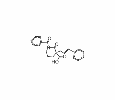 O=C(c1ccccc1)N1CCC[C@@](CC=Cc2ccccc2)(C(=O)O)C1=O